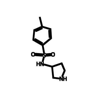 Cc1ccc(S(=O)(=O)NC2CCNC2)cc1